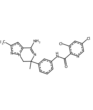 CC1(c2cccc(NC(=O)c3ncc(Cl)cc3Cl)c2)Cn2nc(C(F)(F)F)cc2C(N)=N1